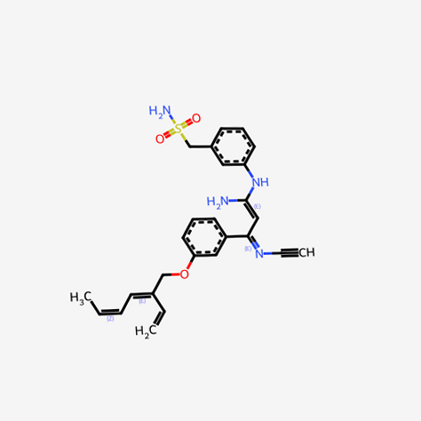 C#C/N=C(\C=C(/N)Nc1cccc(CS(N)(=O)=O)c1)c1cccc(OC/C(C=C)=C/C=C\C)c1